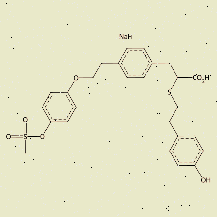 CS(=O)(=O)Oc1ccc(OCCc2ccc(CC(SCCc3ccc(O)cc3)C(=O)O)cc2)cc1.[NaH]